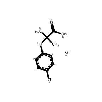 CC(C)(Oc1ccc(Cl)cc1)C(=O)O.[KH]